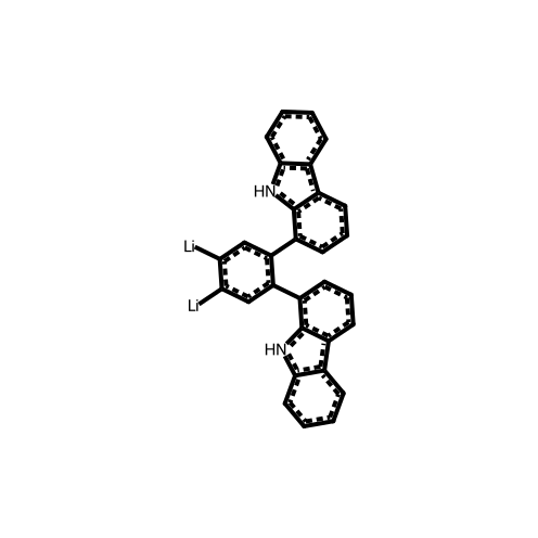 [Li][c]1cc(-c2cccc3c2[nH]c2ccccc23)c(-c2cccc3c2[nH]c2ccccc23)c[c]1[Li]